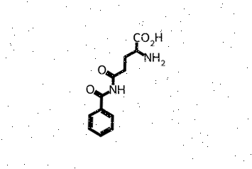 NC(CCC(=O)NC(=O)c1ccccc1)C(=O)O